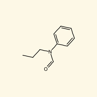 CCCN(C=O)c1ccccc1